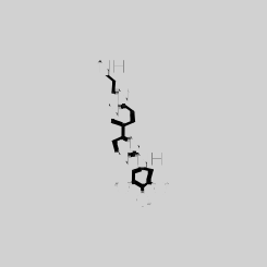 CNCCCN(C)c1ccc(-c2ccnc(Nc3cc(OC)c(OC)c(OC)c3)n2)cn1